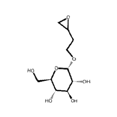 OC[C@H]1O[C@H](OCCC2CO2)[C@H](O)[C@@H](O)[C@@H]1O